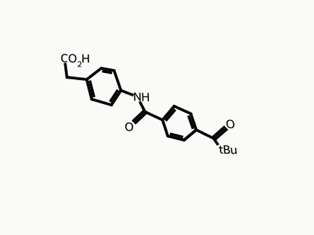 CC(C)(C)C(=O)c1ccc(C(=O)Nc2ccc(CC(=O)O)cc2)cc1